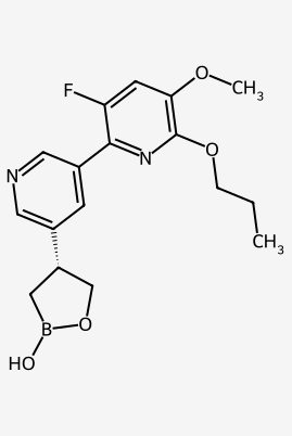 CCCOc1nc(-c2cncc([C@@H]3COB(O)C3)c2)c(F)cc1OC